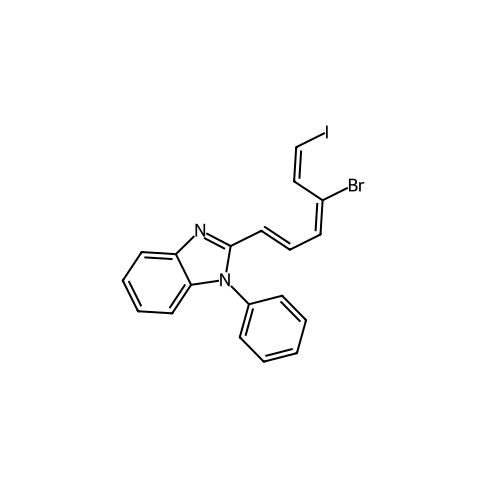 BrC(/C=C\I)=C/C=C/c1nc2ccccc2n1-c1ccccc1